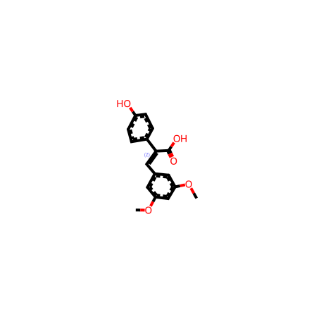 COc1cc(/C=C(\C(=O)O)c2ccc(O)cc2)cc(OC)c1